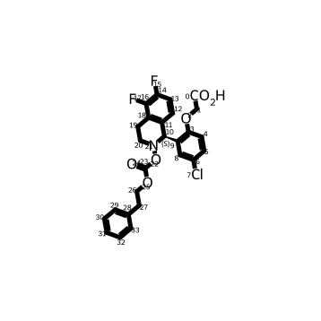 O=C(O)COc1ccc(Cl)cc1[C@@H]1c2ccc(F)c(F)c2CCN1OC(=O)OCCc1ccccc1